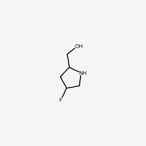 OCC1CC(F)CN1